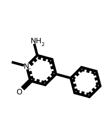 Cn1c(N)cc(-c2ccccc2)cc1=O